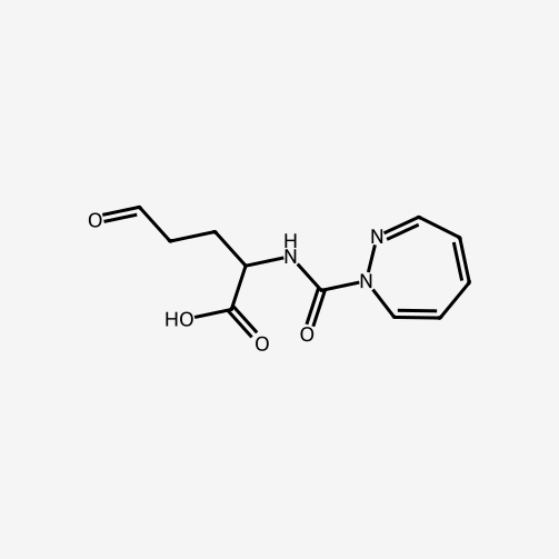 O=CCCC(NC(=O)N1C=CC=CC=N1)C(=O)O